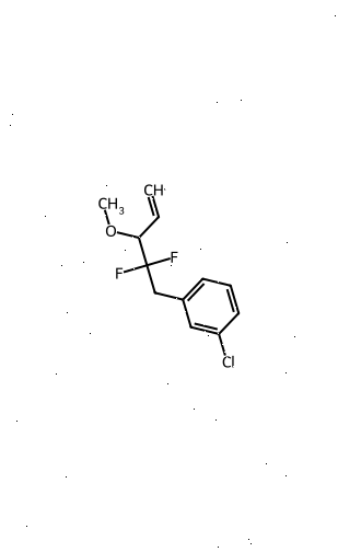 [CH]=CC(OC)C(F)(F)Cc1cccc(Cl)c1